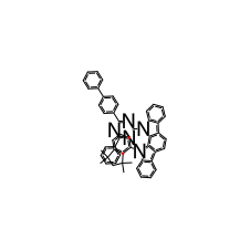 CC1(C)CC(C)(C)c2c(-n3c4ccccc4c4ccc5c6ccccc6n(-c6nc(-c7ccccc7)nc(-c7ccc(-c8ccccc8)cc7)n6)c5c43)cccc21